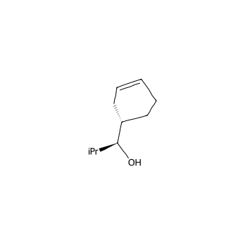 CC(C)[C@H](O)[C@@H]1CC=CCC1